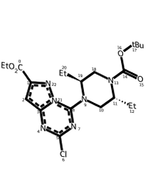 CCOC(=O)c1cc2nc(Cl)nc(N3C[C@@H](CC)N(C(=O)OC(C)(C)C)C[C@@H]3CC)n2n1